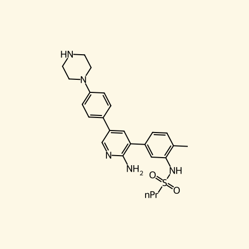 CCCS(=O)(=O)Nc1cc(-c2cc(-c3ccc(N4CCNCC4)cc3)cnc2N)ccc1C